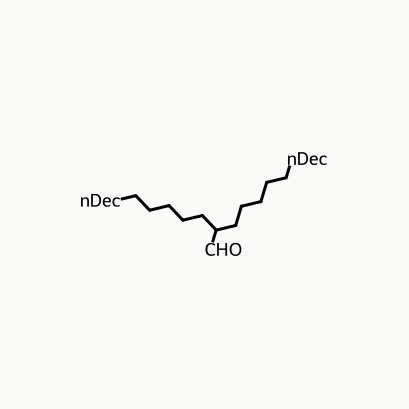 CCCCCCCCCCCCCCCC(C=O)CCCCCCCCCCCCCCC